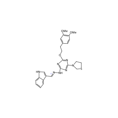 COc1ccc(CCOc2nc(N/N=C/c3c[nH]c4ccccc34)nc(N3CCSC3)n2)cc1OC